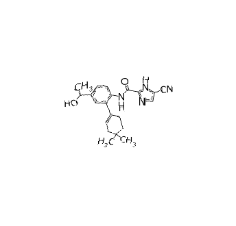 CC(O)c1ccc(NC(=O)c2ncc(C#N)[nH]2)c(C2=CCC(C)(C)CC2)c1